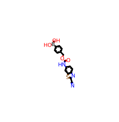 N#Cc1nc2ccc(NC(=O)OCc3ccc(B(O)O)cc3)cc2s1